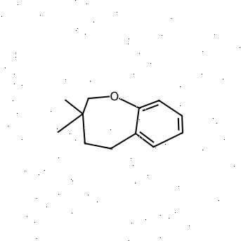 CC1(C)CCc2ccccc2OC1